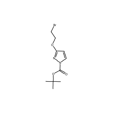 CC(C)(C)OC(=O)n1ccc(OCCBr)n1